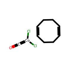 C1=CCCC=CCC1.O=[C]=[Co]([Cl])[Cl]